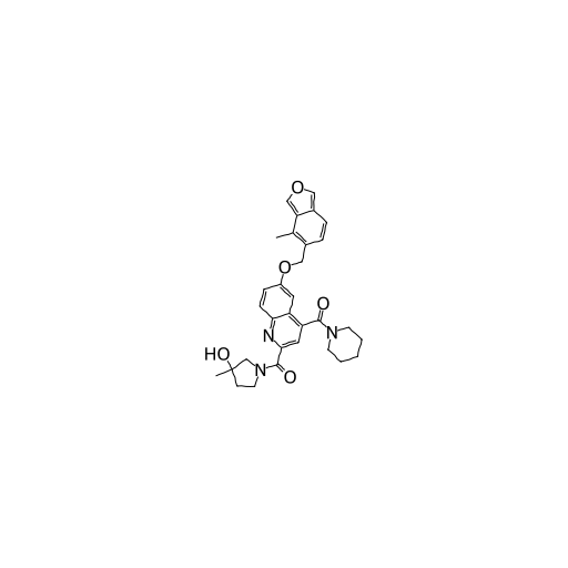 Cc1c(COc2ccc3nc(C(=O)N4CCC(C)(O)C4)cc(C(=O)N4CCCCC4)c3c2)ccc2cocc12